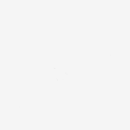 O=C1N(CCCSCCS)CN(CCCSCCS)C(=O)N1CCCSCCS